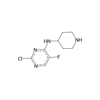 Fc1cnc(Cl)nc1NC1CCNCC1